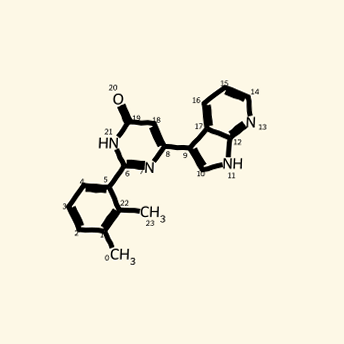 Cc1cccc(-c2nc(-c3c[nH]c4ncccc34)cc(=O)[nH]2)c1C